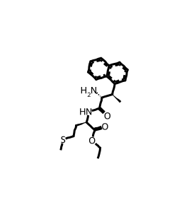 CCOC(=O)[C@@H](CCSC)NC(=O)[C@H](N)[C@H](C)c1cccc2ccccc12